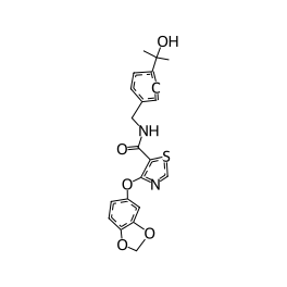 CC(C)(O)c1ccc(CNC(=O)c2scnc2Oc2ccc3c(c2)OCO3)cc1